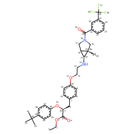 CCOC(=O)[C@H](Cc1ccc(OCCN[C@H]2C3CN(C(=O)c4cccc(C(F)(F)F)c4)C[C@@H]32)cc1)Oc1ccc(C(C)(C)C)cc1